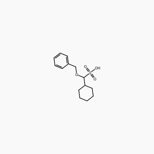 O=S(=O)(O)C(OCc1ccccc1)C1CCCCC1